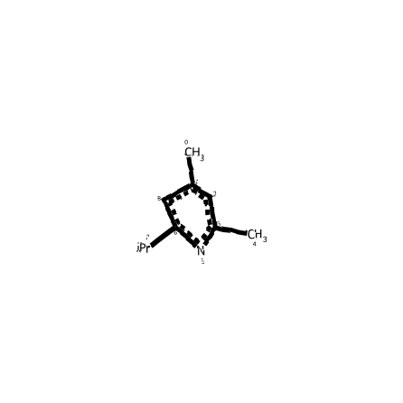 Cc1cc(C)nc(C(C)C)c1